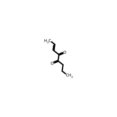 C/C=C/C(=O)C(=O)CCC